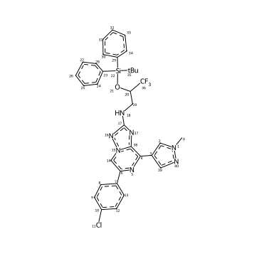 Cn1cc(-c2nc(-c3ccc(Cl)cc3)cn3nc(NCC(O[Si](c4ccccc4)(c4ccccc4)C(C)(C)C)C(F)(F)F)nc23)cn1